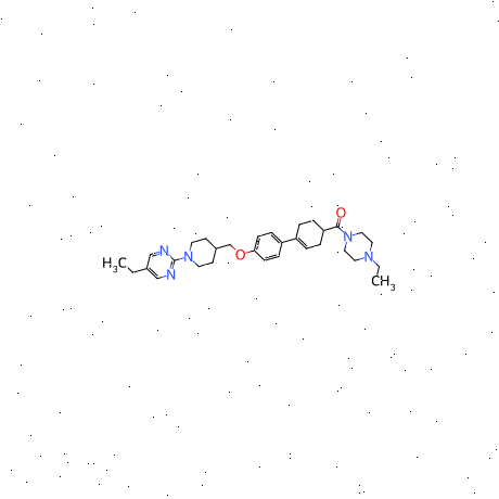 CCc1cnc(N2CCC(COc3ccc(C4=CCC(C(=O)N5CCN(CC)CC5)CC4)cc3)CC2)nc1